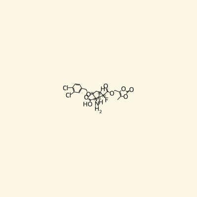 Cc1oc(=O)oc1COC(=O)[C@@]1(F)[C@@H]2C[C@@H](OCc3ccc(Cl)c(Cl)c3)[C@@](N)(C(=O)O)[C@@H]21